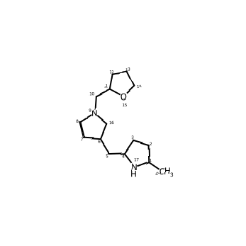 CC1CCC(CC2CCN(CC3CCCO3)C2)N1